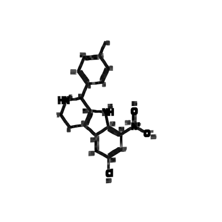 Cc1ccc(C2NCCc3c2[nH]c2c([N+](=O)[O-])cc(Cl)cc32)cc1